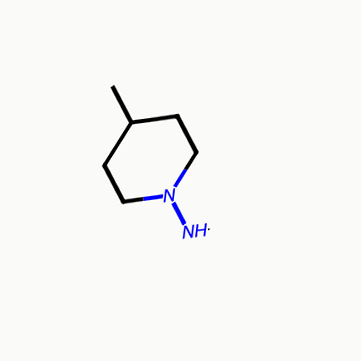 CC1CCN([NH])CC1